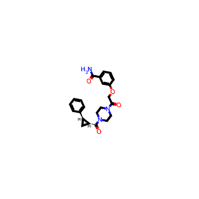 NC(=O)c1cccc(OCC(=O)N2CCN(C(=O)[C@@H]3C[C@H]3c3ccccc3)CC2)c1